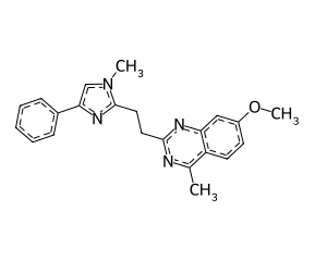 COc1ccc2c(C)nc(CCc3nc(-c4ccccc4)cn3C)nc2c1